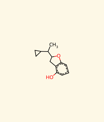 CC(C1CC1)C1Cc2c(O)cccc2O1